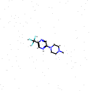 CN1CCN(c2cnc(C(F)(F)F)cn2)CC1